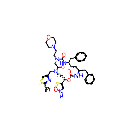 CC(C)c1nc(CN(C)C(=O)CN(CCN2CCOCC2)C(=O)NC(CCC(Cc2ccccc2)NC(=O)OCC2=CNOS2)Cc2ccccc2)cs1